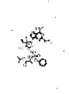 C=C[C@@]1(F)[C@H](O)[C@@H](CO[P@@](=O)(NC(C)C(=O)OC(C)C)Oc2ccccc2)O[C@H]1n1cnc2c(NC)nc(N)nc21